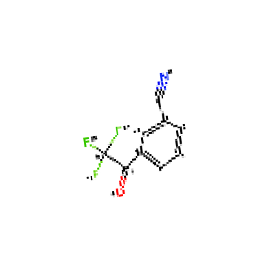 N#Cc1cccc(C(=O)C(F)(F)F)c1